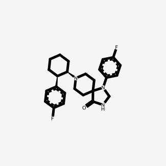 O=C1NCN(c2ccc(F)cc2)C12CCN([C@@H]1CCCC[C@@H]1c1ccc(F)cc1)CC2